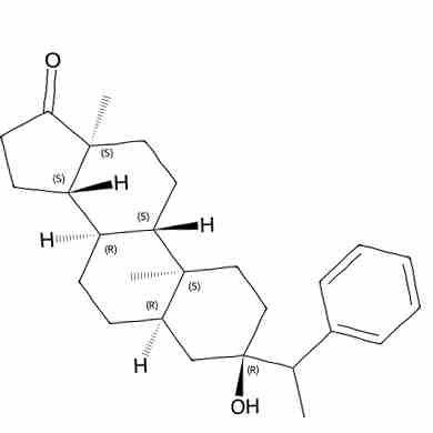 CC(c1ccccc1)[C@@]1(O)CC[C@@]2(C)[C@H](CC[C@@H]3[C@@H]2CC[C@]2(C)C(=O)CC[C@@H]32)C1